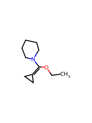 CCOC(=C1CC1)N1CCCCC1